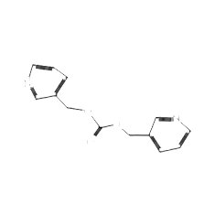 O=C(OCc1cccnc1)OCc1cccnc1